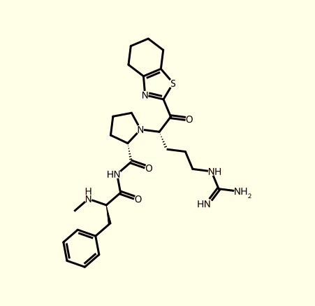 CN[C@H](Cc1ccccc1)C(=O)NC(=O)[C@@H]1CCCN1[C@@H](CCCNC(=N)N)C(=O)c1nc2c(s1)CCCC2